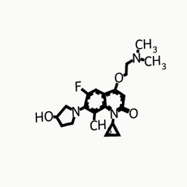 Cc1c(N2CCC(O)C2)c(F)cc2c(OCCN(C)C)cc(=O)n(C3CC3)c12